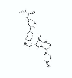 CCCCC(=O)Nc1cncc(-c2cnc3[nH]nc(-c4nc5c(N6CCN(C)CC6)cccc5[nH]4)c3c2)c1